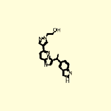 CC(c1ccc2n[nH]cc2c1)c1cnc2ccc(-c3cnn(CCO)c3)nn12